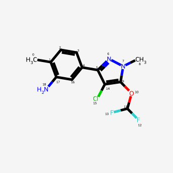 Cc1ccc(-c2nn(C)c(OC(F)F)c2Cl)cc1N